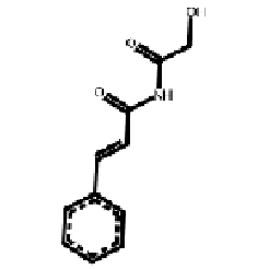 O=C(/C=C/c1ccccc1)NC(=O)CO